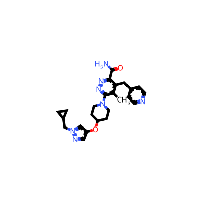 Cc1c(N2CCC(Oc3cnn(CC4CC4)c3)CC2)nnc(C(N)=O)c1Cc1ccncc1